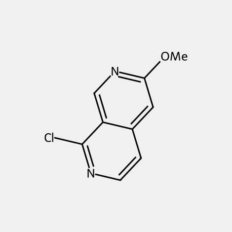 COc1cc2ccnc(Cl)c2cn1